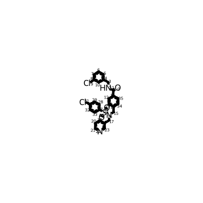 O=C(NCc1cccc(Cl)c1)c1ccc(CN(Cc2cccnc2)S(=O)(=O)c2ccc(Cl)cc2)cc1